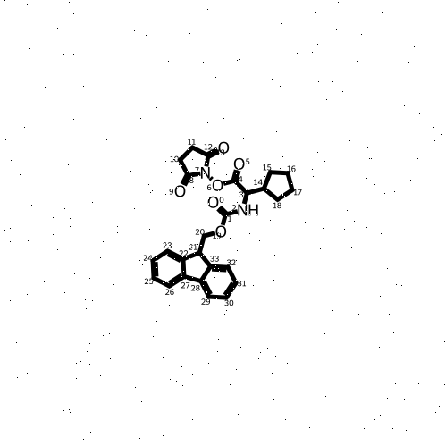 O=C(NC(C(=O)ON1C(=O)CCC1=O)C1CCCC1)OCC1c2ccccc2-c2ccccc21